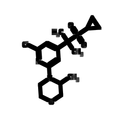 CC1COCCN1c1cc(C(C)(C)S(=O)(=O)C2CC2)cc(Cl)n1